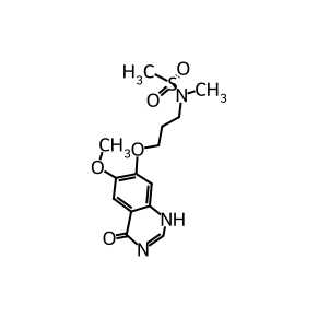 COc1cc2c(=O)nc[nH]c2cc1OCCCN(C)S(C)(=O)=O